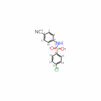 N#Cc1ccc(NS(=O)(=O)c2ccc(Cl)cc2)cc1